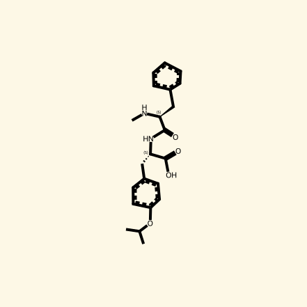 CN[C@@H](Cc1ccccc1)C(=O)N[C@@H](Cc1ccc(OC(C)C)cc1)C(=O)O